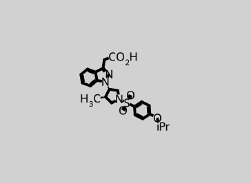 CC(C)Oc1ccc(S(=O)(=O)N2C[C@@H](C)[C@H](n3nc(CC(=O)O)c4ccccc43)C2)cc1